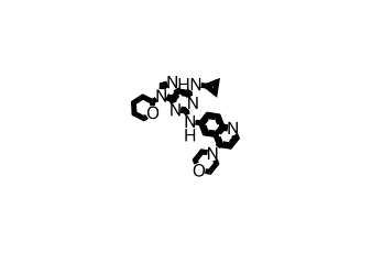 c1cc(N2CCOCC2)c2cc(Nc3nc(NC4CC4)c4ncn(C5CCCCO5)c4n3)ccc2n1